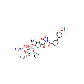 CO[C@@H]1[C@@H](OC(N)=O)[C@@H](O)[C@H](Oc2ccc3c(O)c(NC(=O)c4cccc(-c5ccc(OC(F)(F)F)cc5)c4)c(=O)oc3c2C)OC1(C)C